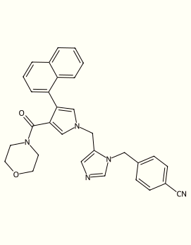 N#Cc1ccc(Cn2cncc2Cn2cc(C(=O)N3CCOCC3)c(-c3cccc4ccccc34)c2)cc1